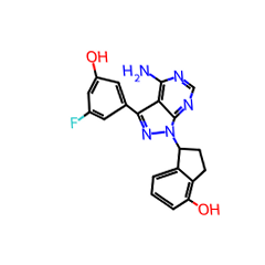 Nc1ncnc2c1c(-c1cc(O)cc(F)c1)nn2C1CCc2c(O)cccc21